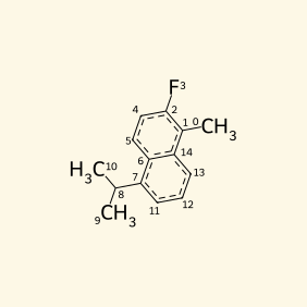 Cc1c(F)ccc2c(C(C)C)cccc12